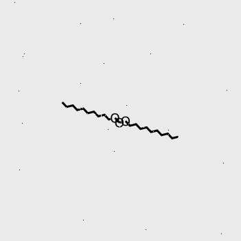 CCCCCCCCCCOOOCCCCCCCCCC